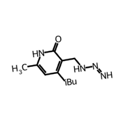 CCC(C)c1cc(C)[nH]c(=O)c1CNN=N